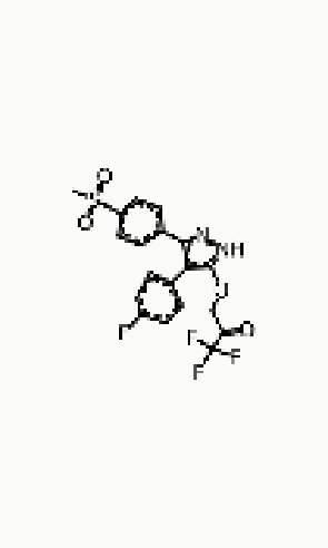 CS(=O)(=O)c1ccc(-c2n[nH]c(OCC(=O)C(F)(F)F)c2-c2ccc(F)cc2)cc1